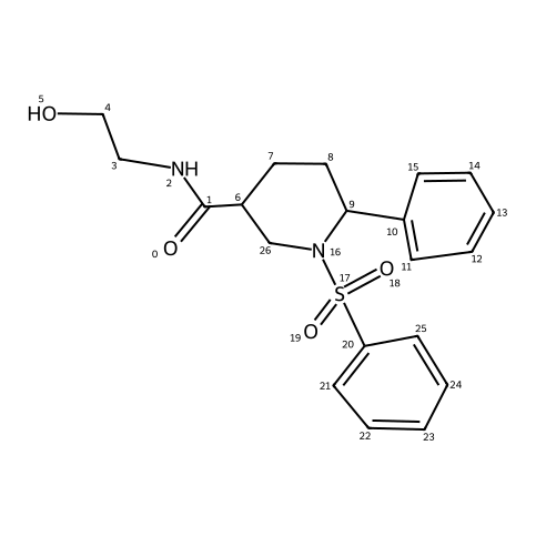 O=C(NCCO)C1CCC(c2ccccc2)N(S(=O)(=O)c2ccccc2)C1